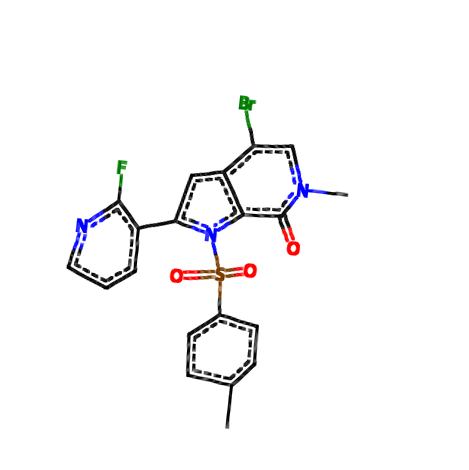 Cc1ccc(S(=O)(=O)n2c(-c3cccnc3F)cc3c(Br)cn(C)c(=O)c32)cc1